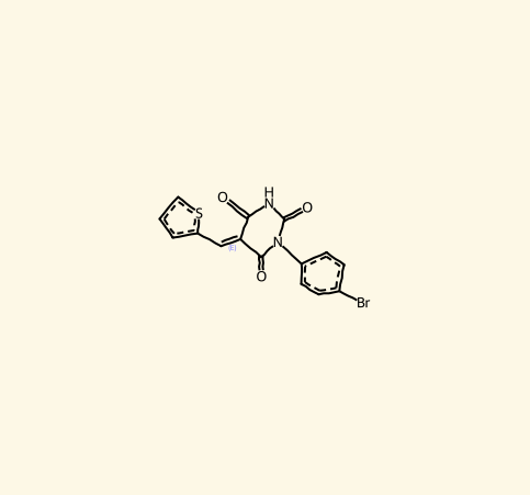 O=C1NC(=O)N(c2ccc(Br)cc2)C(=O)/C1=C/c1cccs1